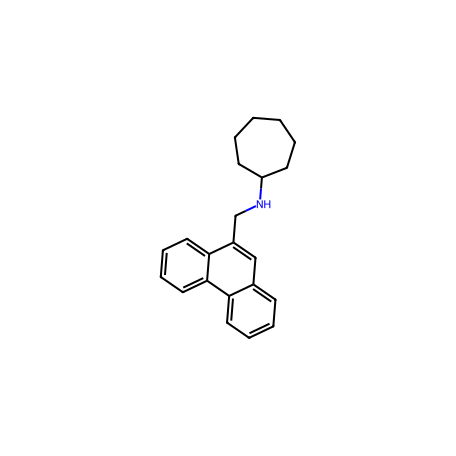 c1ccc2c(c1)cc(CNC1CCCCCC1)c1ccccc12